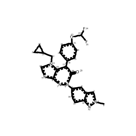 Cn1cc2cc(-n3nc4ncn(CC5CC5)c4c(-c4ccc(OC(F)F)cc4)c3=O)ccc2n1